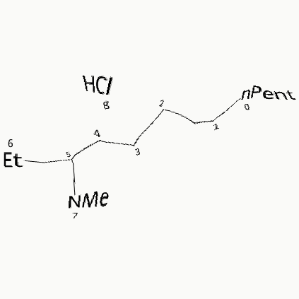 CCCCCCCCCC(CC)NC.Cl